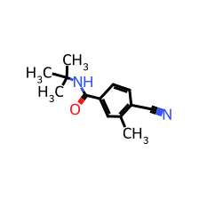 Cc1cc(C(=O)NC(C)(C)C)ccc1C#N